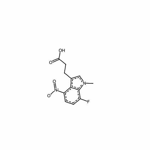 Cn1cc(CCC(=O)O)c2c([N+](=O)[O-])ccc(F)c21